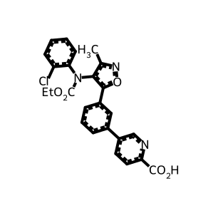 CCOC(=O)N(c1ccccc1Cl)c1c(C)noc1-c1cccc(-c2ccc(C(=O)O)nc2)c1